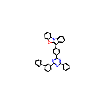 c1ccc(-c2cccc(-c3nc(-c4ccccc4)nc(-c4ccc(-c5c6ccccc6n6c5oc5ccccc56)cc4)n3)c2)cc1